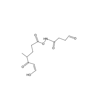 CC(CCC(=O)ONC(=O)CCC=O)C(=O)/C=C\O